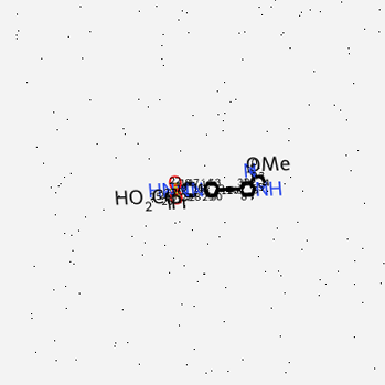 CON=C1CCNc2ccc(C#Cc3ccc(N4CCN(S(=O)(=O)N[C@@H](C(=O)O)C(C)C)CC4)cc3)cc21